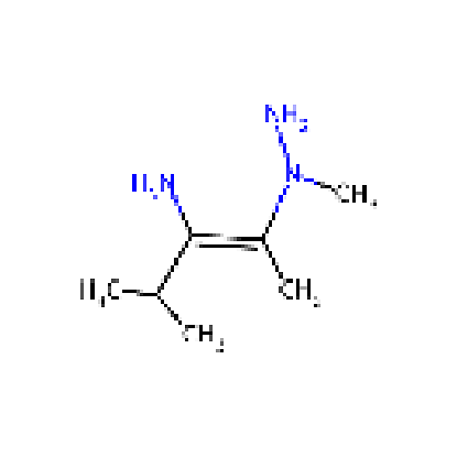 C/C(=C(/N)C(C)C)N(C)N